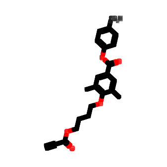 C#CC(=O)OCCCCOc1c(C)cc(C(=O)Oc2ccc(C(=O)O)cc2)cc1C